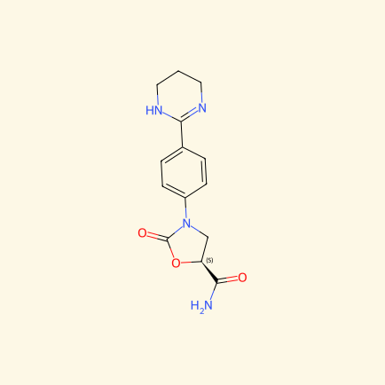 NC(=O)[C@@H]1CN(c2ccc(C3=NCCCN3)cc2)C(=O)O1